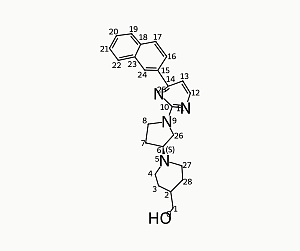 OCC1CCN([C@H]2CCN(c3nccc(-c4ccc5ccccc5c4)n3)C2)CC1